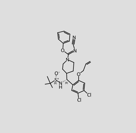 C=CCOc1cc(Cl)c(Cl)cc1[C@H](N[S@@+]([O-])C(C)(C)C)C1CCN(C(=NC#N)Oc2ccccc2)CC1